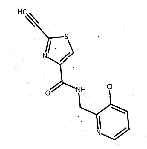 C#Cc1nc(C(=O)NCc2ncccc2Cl)cs1